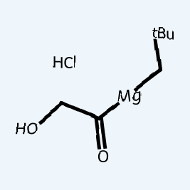 CC(C)(C)[CH2][Mg][C](=O)CO.Cl